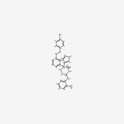 Fc1ccc(CCc2cccc(C3(c4ccsc4)CCC(Sc4ccccc4Cl)CN3)n2)cc1